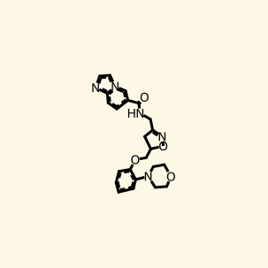 O=C(NCC1=NOC(COc2ccccc2N2CCOCC2)C1)c1ccc2nccn2c1